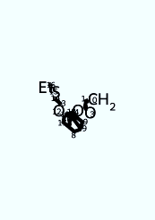 C=CC(=O)OC12CC3CC(CC(OCCSCC)(C3)C1)C2